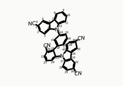 N#Cc1ccc2c(c1)c1ccccc1n2-c1cccc(-c2c(C#N)cccc2-n2c3ccc(C#N)cc3c3cc(C#N)ccc32)c1